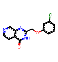 O=c1[nH]c(COc2cccc(Cl)c2)nc2cnccc12